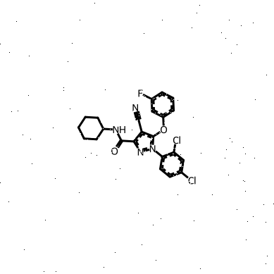 N#Cc1c(C(=O)NC2CCCCC2)nn(-c2ccc(Cl)cc2Cl)c1Oc1cccc(F)c1